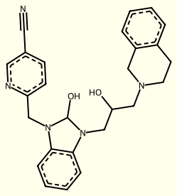 N#Cc1ccc(CN2c3ccccc3N(CC(O)CN3CCc4ccccc4C3)C2O)nc1